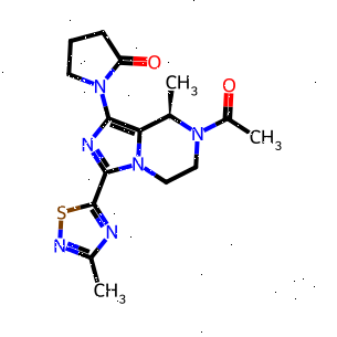 CC(=O)N1CCn2c(-c3nc(C)ns3)nc(N3CCCC3=O)c2[C@H]1C